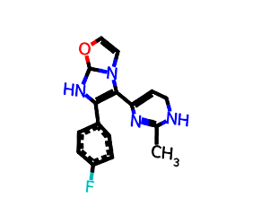 CC1=NC(C2=C(c3ccc(F)cc3)NC3OC=CN23)=CCN1